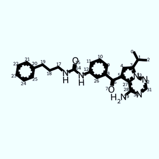 CC(C)c1cc(C(=O)c2cccc(NC(=O)NCCCc3ccccc3)c2)c2c(N)ncnn12